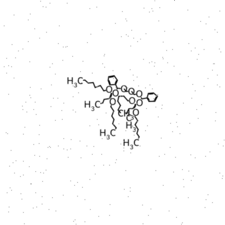 CCCCCCCOC(CCC)=C(OCCCCCCC)OC(OCOCOC(OC(OCCCCCCC)=C(CCC)OCCCCCCC)c1ccccc1)c1ccccc1